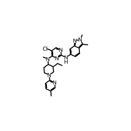 CCC1CN(c2ccc(C)cn2)CCC1N(C)c1nc(Nc2ccc3c(C)n(C)nc3c2)ncc1Cl